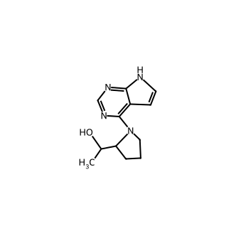 CC(O)C1CCCN1c1ncnc2[nH]ccc12